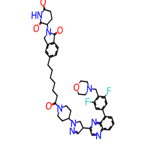 O=C1CCC(N2Cc3cc(CCCCCCC(=O)N4CCC(N5CC(c6cnc7cccc(-c8cc(F)c(CN9CCOCC9)c(F)c8)c7n6)C=N5)CC4)ccc3C2=O)C(=O)N1